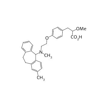 COC(Cc1ccc(OCCN(C)C2c3ccccc3CCc3cc(C)ccc32)cc1)C(=O)O